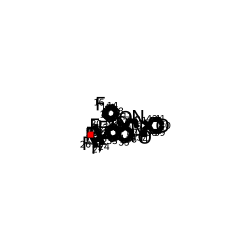 N#CC1(C(=O)N2CC[C@@]3(S(=O)(=O)c4ccc(F)cc4)c4ccc(C(F)(C(F)(F)F)C(F)(F)F)cc4CC[C@@H]23)CCOCC1